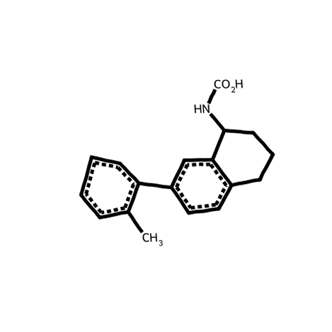 Cc1ccccc1-c1ccc2c(c1)C(NC(=O)O)CCC2